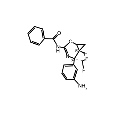 Nc1cccc([C@@]2(C(F)F)N=C(NC(=O)c3ccccc3)OC3C[C@@H]32)c1